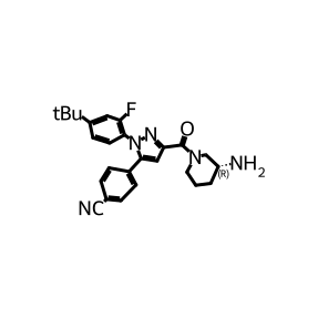 CC(C)(C)c1ccc(-n2nc(C(=O)N3CCC[C@@H](N)C3)cc2-c2ccc(C#N)cc2)c(F)c1